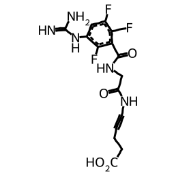 N=C(N)Nc1cc(F)c(F)c(C(=O)NCC(=O)NC#CCCC(=O)O)c1F